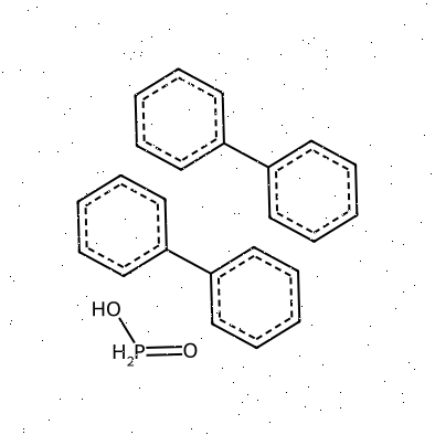 O=[PH2]O.c1ccc(-c2ccccc2)cc1.c1ccc(-c2ccccc2)cc1